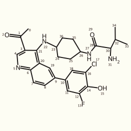 CC(=O)c1cnc2ccc(-c3cc(F)c(O)c(Cl)c3)cc2c1NC1CCC(NC(=O)C(N)C(C)C)CC1